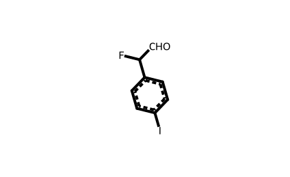 O=CC(F)c1ccc(I)cc1